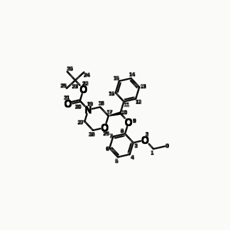 CCOc1ccccc1OC(c1ccccc1)[C@@H]1CN(C(=O)OC(C)(C)C)CCO1